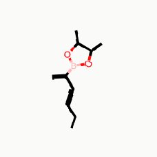 C=C(/C=C/CC)B1OC(C)C(C)O1